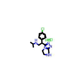 CC(C)NCC(c1ccc(Cl)cc1)c1nnc2n1CCNC2.Cl.Cl